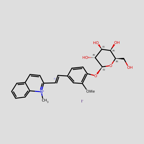 COc1cc(/C=C/c2ccc3ccccc3[n+]2C)ccc1O[C@@H]1O[C@H](CO)[C@H](O)[C@H](O)[C@H]1O.[I-]